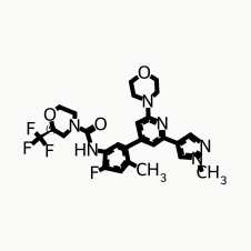 Cc1cc(F)c(NC(=O)N2CCO[C@H](C(F)(F)F)C2)cc1-c1cc(-c2cnn(C)c2)nc(N2CCOCC2)c1